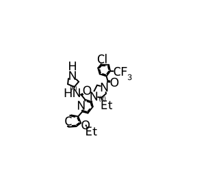 CCOc1ccccc1-c1ccc(N2CCN(C(=O)c3ccc(Cl)cc3C(F)(F)F)C[C@H]2CC)c(C(=O)N[C@@H]2CCNC2)n1